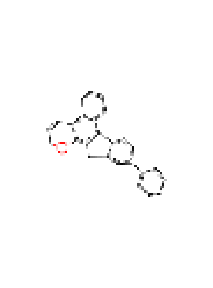 C1=Cc2c(c3c(c4ccccc24)-c2ccc(-c4ccccc4)cc2C3)OC1